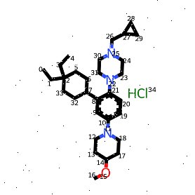 CCC1(CC)CCC(c2cc(N3CCC(OC)CC3)ccc2N2CCN(CC3CC3)CC2)CC1.Cl